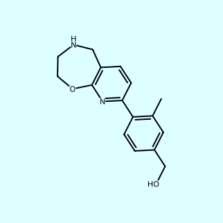 Cc1cc(CO)ccc1-c1ccc2c(n1)OCCNC2